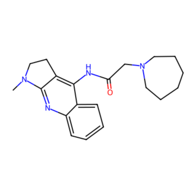 CN1CCc2c1nc1ccccc1c2NC(=O)CN1CCCCCC1